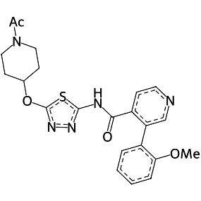 COc1ccccc1-c1cnccc1C(=O)Nc1nnc(OC2CCN(C(C)=O)CC2)s1